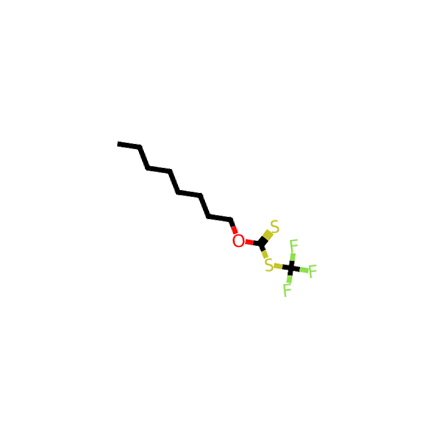 CCCCCCCCOC(=S)SC(F)(F)F